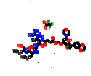 CCC(NC(=N)N)[C@H](NC(=O)CCC(=O)OCOc1cc(N2CCOCC2)[o+]c2c(-c3ccc4c(c3)OCCO4)csc12)C(=O)NCC(=O)N[C@@H](CC(=O)O)C(=O)N[C@@H](CO)C(=O)O.O=C([O-])C(F)(F)F